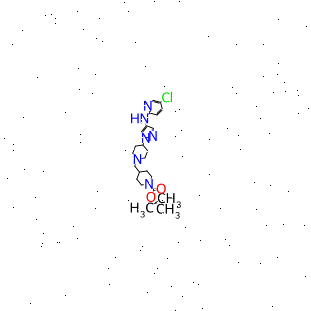 CC(C)(C)OC(=O)N1CCC(CN2CCC(n3cc(Nc4ccc(Cl)cn4)cn3)CC2)CC1